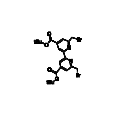 CC(C)(C)OC(=O)c1cc(CBr)nc(-c2cc(C(=O)OC(C)(C)C)cc(CBr)n2)c1